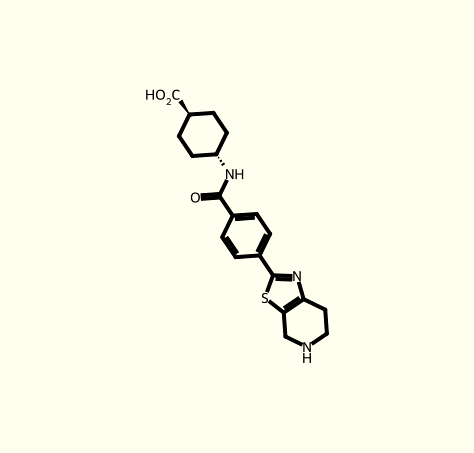 O=C(N[C@H]1CC[C@H](C(=O)O)CC1)c1ccc(-c2nc3c(s2)CNCC3)cc1